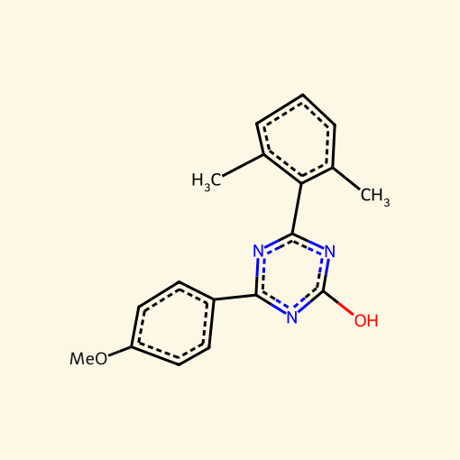 COc1ccc(-c2nc(O)nc(-c3c(C)cccc3C)n2)cc1